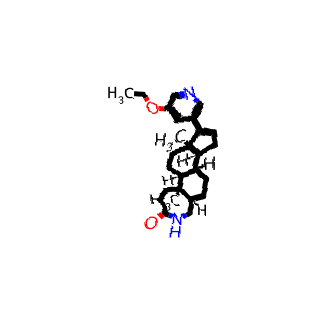 CCOc1cncc(C2=CC[C@H]3[C@@H]4CC[C@H]5CNC(=O)CC[C@]5(C)[C@H]4CC[C@]23C)c1